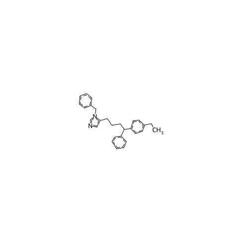 CCc1ccc(C(CCCc2cncn2Cc2ccccc2)c2ccccc2)cc1